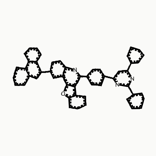 c1ccc(-c2cc(-c3ccc(-c4nc5ccc(-c6cc7ccccc7c7ccccc67)cc5c5oc6ccccc6c45)cc3)nc(-c3ccccc3)n2)cc1